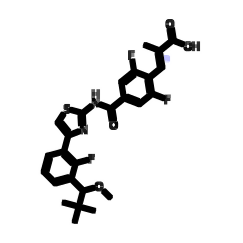 COC(c1cccc(-c2csc(NC(=O)c3cc(F)c(/C=C(\C)C(=O)O)c(F)c3)n2)c1F)C(C)(C)C